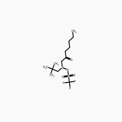 CCCCCC(=O)C[S+](CC(C)(C)C)OS(=O)(=O)C(F)(F)F